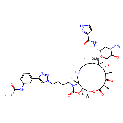 CC[C@H]1OC(=O)[C@H](C)C(=O)[C@H](C)[C@@H](O[C@@H]2O[C@H](CNC(=O)c3cc[nH]n3)CC(N)C2O)[C@](C)(OC)C[C@@H](C)CN[C@H](C)[C@@H]2[C@@H]1OC(=O)N2CCCCn1cc(-c2cccc(NC(=O)OC(C)(C)C)c2)nn1